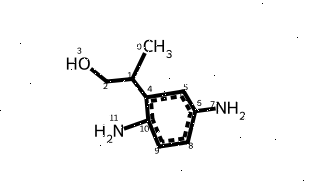 CC(CO)c1cc(N)ccc1N